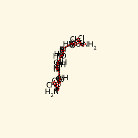 N[C@@H]1CCCN([C@H]2Cc3c(Cl)cc(Cl)cc3[C@@H]2Oc2ccc(S(=O)(=O)NCCCCCCn3cc(CNC(=O)NCCCCNC(=O)NCc4cn(CCCCCCNS(=O)(=O)c5ccc(O[C@H]6c7cc(Cl)cc(Cl)c7C[C@@H]6N6CCC[C@@H](N)C6)cc5)nn4)nn3)cc2)C1